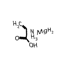 C=CC(=O)O.N.[MgH2]